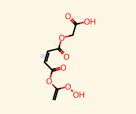 C=C(OO)OC(=O)/C=C\C(=O)OCC(=O)O